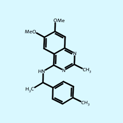 COc1cc2nc(C)nc(NC(C)c3ccc(C)cc3)c2cc1OC